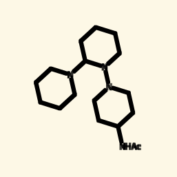 CC(=O)NC1CCN(N2CCCCC2N2CCCCC2)CC1